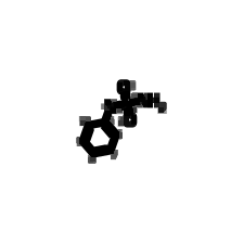 NS(=O)(=O)[N]c1ccccc1